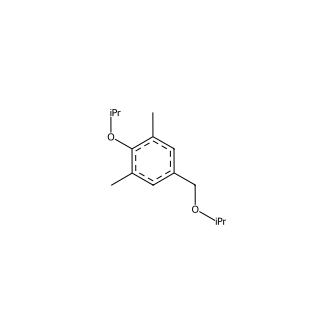 Cc1cc(COC(C)C)cc(C)c1OC(C)C